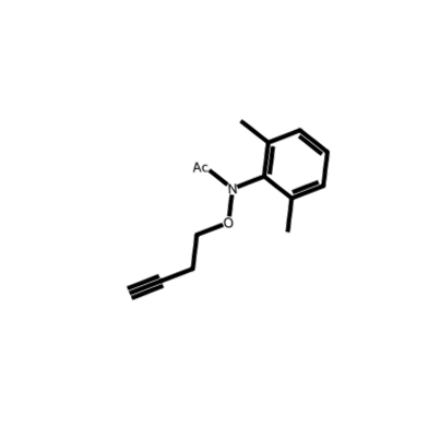 C#CCCON(C(C)=O)c1c(C)cccc1C